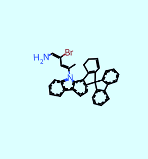 C/C(=C\C(Br)=C/N)n1c2ccccc2c2ccc3c(c21)C1=C(C=CCC1)C31c2ccccc2-c2ccccc21